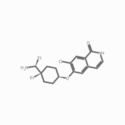 CC[C@H](N)[C@]1(CC)CC[C@@H](Oc2cc3cc[nH]c(=O)c3cc2Cl)CC1